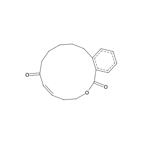 O=C1C=CCCOC(=O)c2ccccc2CCCCC1